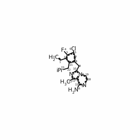 C=Cc1c(F)c(Cl)cc(Cc2nc(C)c3c(N)nccn23)c1CC(C)C